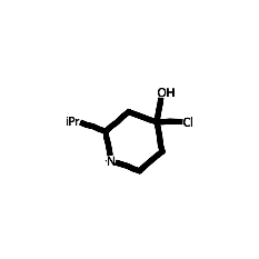 CC(C)C1CC(O)(Cl)CC[N]1